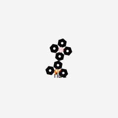 CCCC[P+](c1ccccc1)(c1ccccc1)c1ccccc1.c1ccc([B-](c2ccccc2)(c2ccccc2)c2ccccc2)cc1